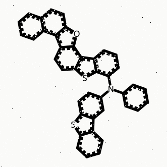 c1ccc(N(c2ccc3sc4ccccc4c3c2)c2cccc3c2sc2ccc4c(oc5ccc6ccccc6c54)c23)cc1